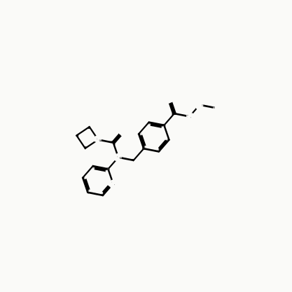 O=C(NOI)c1ccc(CN(C(=O)N2CCC2)c2ccccn2)cc1